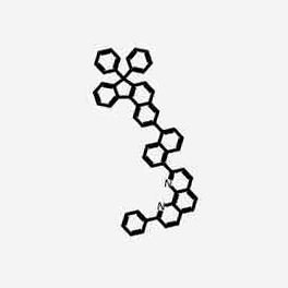 c1ccc(-c2ccc3ccc4ccc(-c5cccc6c(-c7ccc8c9c(ccc8c7)C(c7ccccc7)(c7ccccc7)c7ccccc7-9)cccc56)nc4c3n2)cc1